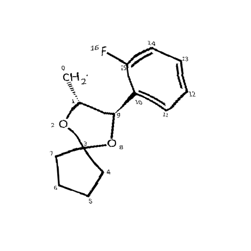 [CH2][C@H]1OC2(CCCC2)O[C@@H]1c1ccccc1F